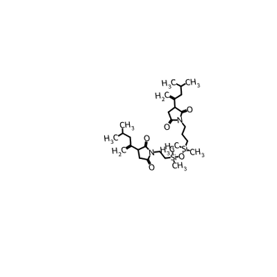 C=C(CC(C)C)C1CC(=O)N(CCC[Si](C)(C)O[Si](C)(C)CCN2C(=O)CC(C(=C)CC(C)C)C2=O)C1=O